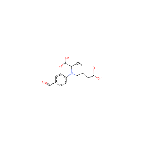 CC(C(=O)O)N(CCCC(=O)O)c1ccc(C=O)cc1